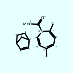 C1=CC2CCC1C2.COC(=O)N1C=CC(C)=CC=C1C